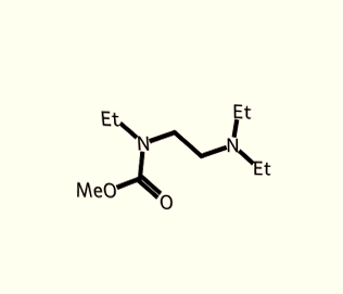 CCN(CC)CCN(CC)C(=O)OC